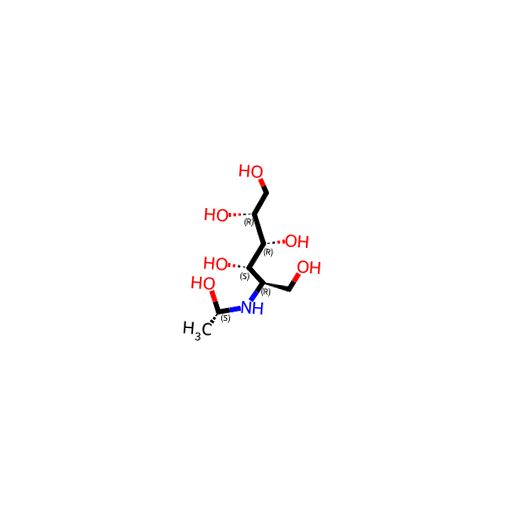 C[C@H](O)N[C@H](CO)[C@H](O)[C@@H](O)[C@H](O)CO